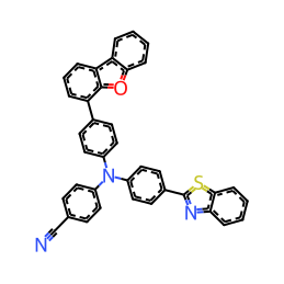 N#Cc1ccc(N(c2ccc(-c3nc4ccccc4s3)cc2)c2ccc(-c3cccc4c3oc3ccccc34)cc2)cc1